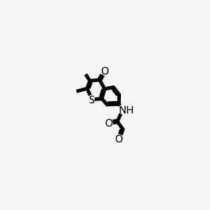 Cc1sc2cc(NC(=O)C=O)ccc2c(=O)c1C